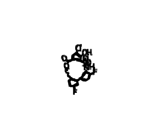 O=C1OCCc2ccc(F)cc2-c2ccc(F)c(c2)NS(=O)(=O)c2cc1cc(Cl)c2O